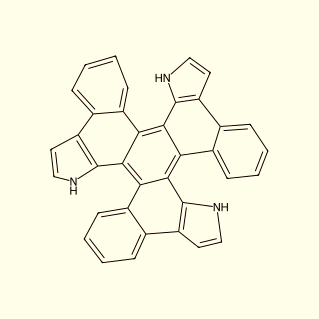 c1ccc2c(c1)c1cc[nH]c1c1c2c2c3[nH]ccc3c3ccccc3c2c2c3[nH]ccc3c3ccccc3c12